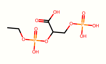 CCOP(=O)(O)OC(COP(=O)(O)O)C(=O)O